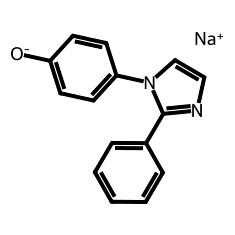 [Na+].[O-]c1ccc(-n2ccnc2-c2ccccc2)cc1